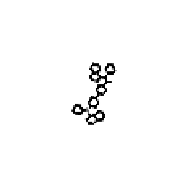 CC(C1C=CC(C2C=CC(N(c3ccccc3)c3cccc4ccccc34)=CC2)=CC1)C(c1ccccc1)c1cccc2ccccc12